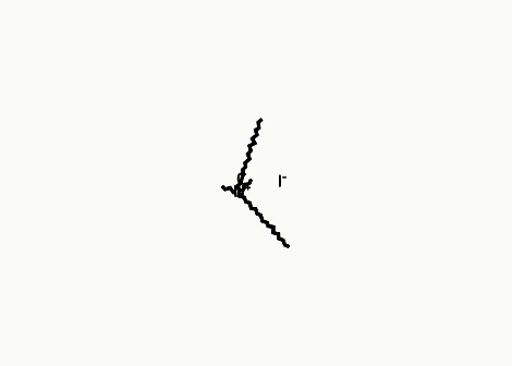 CCCCCCCCCCCCCCCCCC[N+](CCCC)(CCCC)CCCCCCCCCCCCCCCCCC.[I-]